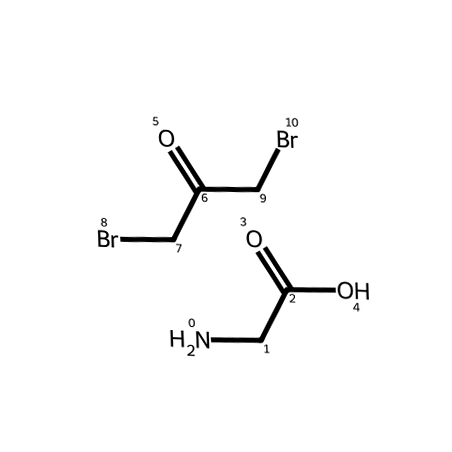 NCC(=O)O.O=C(CBr)CBr